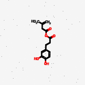 C=C(CC(=O)OC(=O)CCc1ccc(O)c(O)c1)C(=O)O